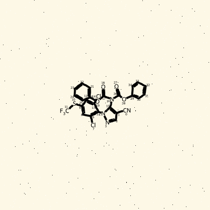 N#Cc1cnn(-c2c(Cl)cc(SC(F)(F)F)cc2Cl)c1N(C(=O)Oc1ccccc1)C(=O)Oc1ccccc1